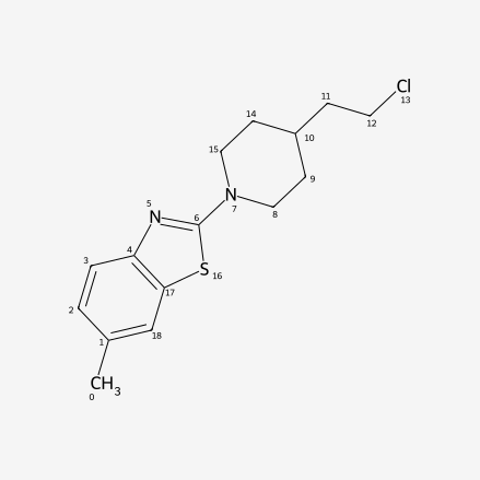 Cc1ccc2nc(N3CCC(CCCl)CC3)sc2c1